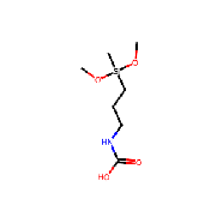 CO[Si](C)(CCCNC(=O)O)OC